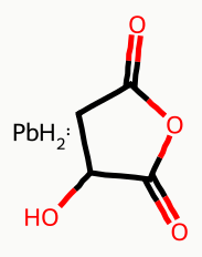 O=C1CC(O)C(=O)O1.[PbH2]